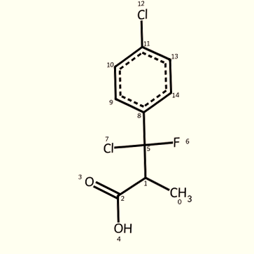 CC(C(=O)O)C(F)(Cl)c1ccc(Cl)cc1